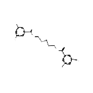 O=C(NCCCCCOC(=O)c1cc([N+](=O)[O-])cc([N+](=O)[O-])c1)c1cc([N+](=O)[O-])cc([N+](=O)[O-])c1